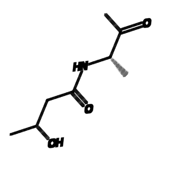 CC(=O)[C@H](C)NC(=O)CC(C)O